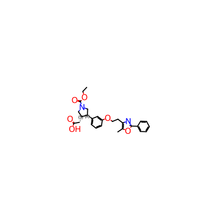 CCOC(=O)N1C[C@@H](CC(=O)O)[C@H](c2cccc(OCCc3nc(-c4ccccc4)oc3C)c2)C1